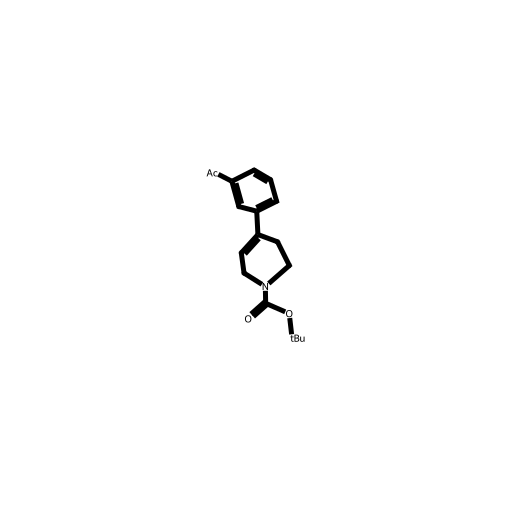 CC(=O)c1cccc(C2=CCN(C(=O)OC(C)(C)C)CC2)c1